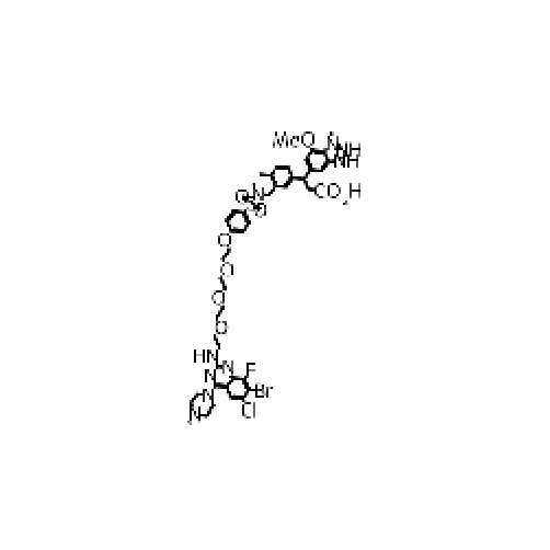 COc1cc(C(CC(=O)O)c2ccc(C)c(CN(C)S(=O)(=O)c3ccc(OCCOCCOCCOCCNc4nc(N5CCN(C)CC5)c5cc(Cl)c(Br)c(F)c5n4)cc3)c2)cc2c1N(C)NN2